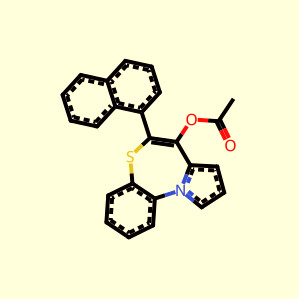 CC(=O)OC1=C(c2cccc3ccccc23)Sc2ccccc2-n2cccc21